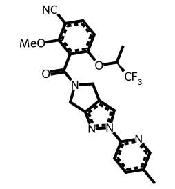 COc1c(C#N)ccc(O[C@@H](C)C(F)(F)F)c1C(=O)N1Cc2cn(-c3ccc(C)cn3)nc2C1